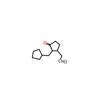 O=CCC1CCC(=O)C1CC1CCCC1